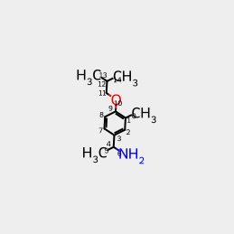 Cc1cc(C(C)N)ccc1OCC(C)C